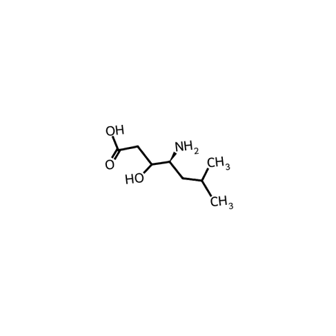 CC(C)C[C@H](N)C(O)CC(=O)O